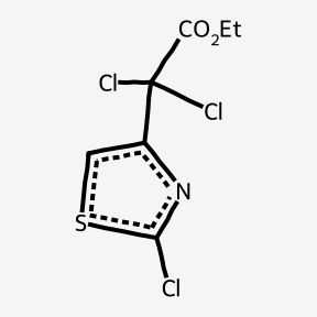 CCOC(=O)C(Cl)(Cl)c1csc(Cl)n1